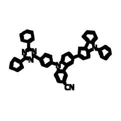 N#Cc1ccc2c(c1)c1cc(-c3ccc4c(c3)c3ccccc3n4-c3ccccc3)ccc1n2-c1ccc(-c2nc(-c3ccccc3)nc(-c3ccccc3)n2)cc1